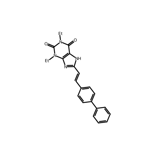 CCn1c(=O)c2[nH]c(C=Cc3ccc(-c4ccccc4)cc3)nc2n(CC)c1=O